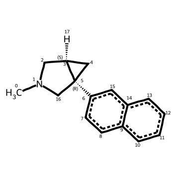 CN1C[C@H]2C[C@@]2(c2ccc3ccccc3c2)C1